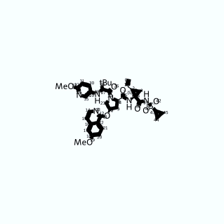 C=C[C@@H]1C[C@]1(NC(=O)[C@@H]1C[C@@H](Oc2nccc3cc(OC)ccc23)CN1C(=O)C(Nc1ccc(OC)nc1)C(C)(C)C)C(=O)NS(=O)(=O)C1CC1